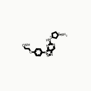 COCCOc1ccc(-n2nnc3cnc(N[C@@H]4CC[C@@H](N)C4)nc32)cc1